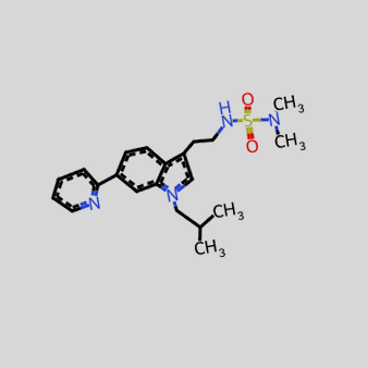 CC(C)Cn1cc(CCNS(=O)(=O)N(C)C)c2ccc(-c3ccccn3)cc21